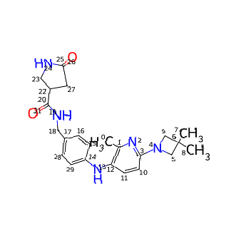 Cc1nc(N2CC(C)(C)C2)ccc1Nc1ccc(CNC(=O)C2CNC(=O)C2)cc1